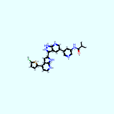 CC(C)C(=O)Nc1cncc(-c2cnc3[nH]nc(-c4cc5c(-c6ccc(F)s6)ccnc5[nH]4)c3c2)c1